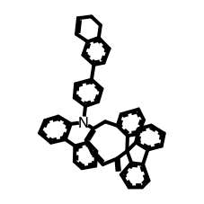 C=C1/C=C\C=C(\N(c2ccc(-c3ccc4c(c3)C=CCC4)cc2)c2ccccc2-c2ccccc2)Cc2ccccc2C12c1ccccc1-c1ccccc12